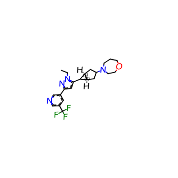 CCn1nc(-c2cncc(C(F)(F)F)c2)cc1C1[C@H]2CC(N3CCCOCC3)C[C@@H]12